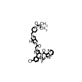 CN(C)C(=O)N1CCC(CN2CC3CN(C(=O)Cn4cc(NC(=O)c5cnn6cccnc56)c(-c5cc(Cl)ccc5OC(F)F)n4)C[C@@H]3C2)CC1